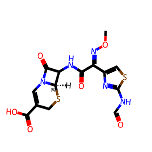 CON=C(C(=O)NC1C(=O)N2C=C(C(=O)O)CS[C@H]12)c1csc(NC=O)n1